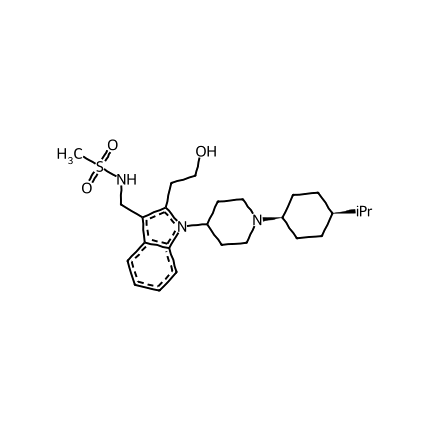 CC(C)[C@H]1CC[C@@H](N2CCC(n3c(CCO)c(CNS(C)(=O)=O)c4ccccc43)CC2)CC1